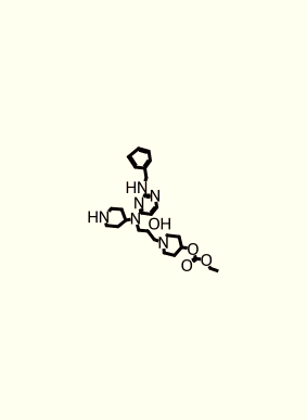 CCOC(=O)OC1CCN(CC(O)CN(c2ccnc(NCc3ccccc3)n2)C2CCNCC2)CC1